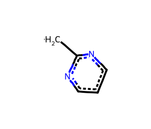 [CH2]c1ncccn1